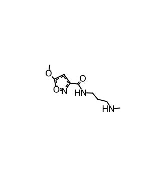 CNCCCNC(=O)c1cc(OC)on1